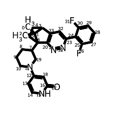 CC1(C)C2CCC1(C1CCCN(c3cc[nH]c(=O)c3)C1)c1nnc(-c3c(F)cccc3F)cc12